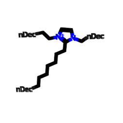 CCCCCCCCCCCCCCCCCc1n(CCCCCCCCCCC)cc[n+]1CCCCCCCCCCCC